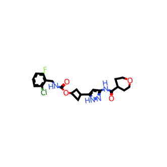 O=C(NCc1c(F)cccc1Cl)OC1CC(c2cc(NC(=O)C3CCOCC3)n[nH]2)C1